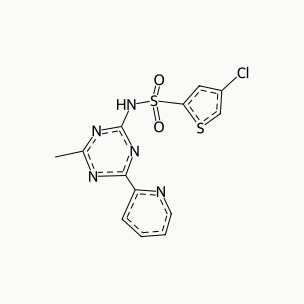 Cc1nc(NS(=O)(=O)c2cc(Cl)cs2)nc(-c2ccccn2)n1